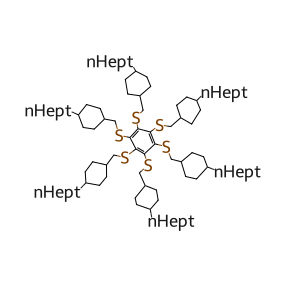 CCCCCCCC1CCC(CSc2c(SCC3CCC(CCCCCCC)CC3)c(SCC3CCC(CCCCCCC)CC3)c(SCC3CCC(CCCCCCC)CC3)c(SCC3CCC(CCCCCCC)CC3)c2SCC2CCC(CCCCCCC)CC2)CC1